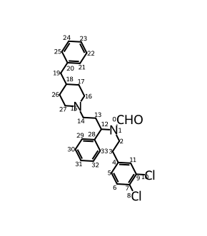 O=CN(CCc1ccc(Cl)c(Cl)c1)C(CCN1CCC(Cc2ccccc2)CC1)c1ccccc1